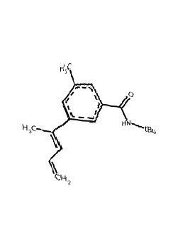 C=C/C=C(\C)c1cc(C)cc(C(=O)NC(C)(C)C)c1